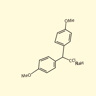 COc1ccc(C(c2ccc(OC)cc2)C(Cl)(Cl)Cl)cc1.[NaH]